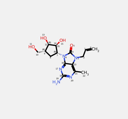 C=CCn1c(=O)n([C@@H]2C[C@H](CO)[C@@H](O)[C@H]2O)c2nc(N)nc(C)c21